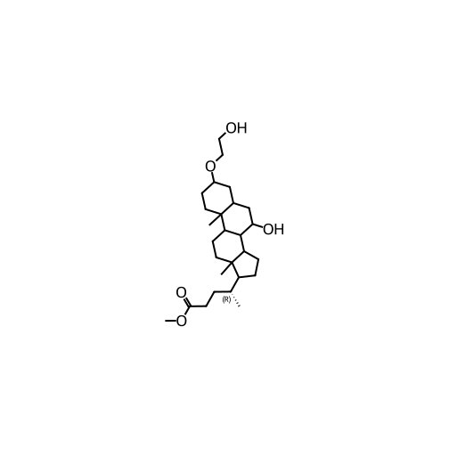 COC(=O)CC[C@@H](C)C1CCC2C3C(O)CC4CC(OCCO)CCC4(C)C3CCC21C